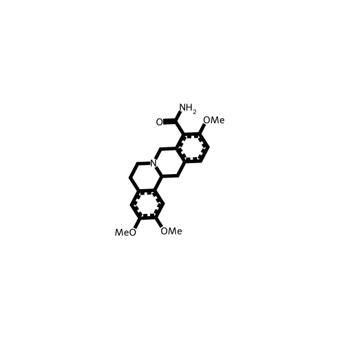 COc1cc2c(cc1OC)C1Cc3ccc(OC)c(C(N)=O)c3CN1CC2